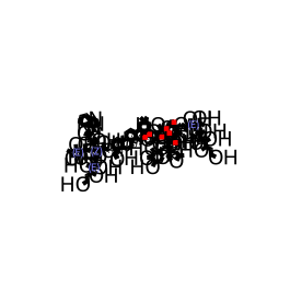 CCC(OC(C)=O)C(OC1OCC(O)C(O)C1O)C(O)C(O)OC(CC)C(O)C(CO)(OC(=O)[C@]12CCC(C)(C)CC1C1=CCC3[C@@]4(C)CC[C@H](OC(O)/C(OC(O)/C(O)=C(\O)C(O)CCO)=C(/OC(O)/C(O)=C(\O)C(C)O)C(O)CC(=O)On5nnc6cccnc65)[C@@](C)(C=O)C4CC[C@@]3(C)[C@]1(C)C[C@H]2O)OC1OC(C)C(OC(O)/C(O)=C(\OC(O)C(O)C(O)C(O)CCO)C(C)O)C(O)C1O